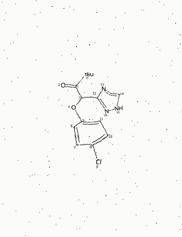 CC(C)(C)C(=O)C(Oc1ccc(Cl)cc1)c1nc[nH]n1